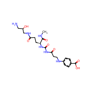 CNC(=O)[C@H](CCC(=O)NCC(O)CN)NC(=O)NC(=O)CCNc1ccc(C(=O)O)cc1